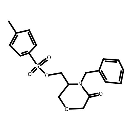 Cc1ccc(S(=O)(=O)OCC2COCC(=O)N2Cc2ccccc2)cc1